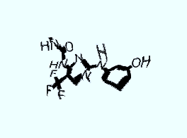 CNC(=O)Nc1nc(Nc2cccc(O)c2)ncc1C(F)(F)F